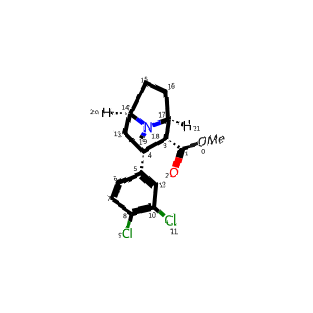 COC(=O)[C@@H]1[C@H](c2ccc(Cl)c(Cl)c2)C[C@H]2CC[C@@H]1N2C